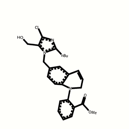 CCCCc1nc(Cl)c(CO)n1Cc1ccc2c(c1)C=CCN2c1ccccc1C(=O)OC